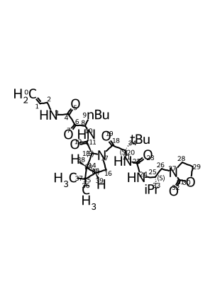 C=CCNC(=O)C(=O)C(CCCC)NC(=O)[C@@H]1[C@@H]2[C@H](CN1C(=O)[C@@H](NC(=O)N[C@H](CN1CCOC1=O)C(C)C)C(C)(C)C)C2(C)C